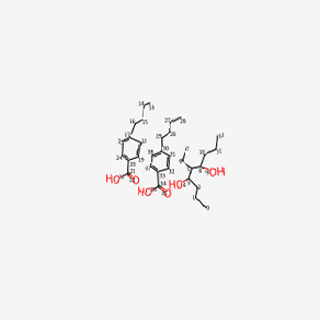 CCCC(O)C(CC)C(O)CCC.CCCCc1ccc(C(=O)O)cc1.CCCCc1ccc(C(=O)O)cc1